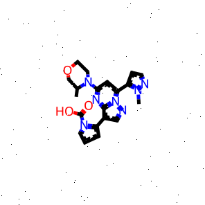 CC1COCCN1c1cc(-c2ccnn2C)n2ncc(-c3cccn3C(=O)O)c2n1